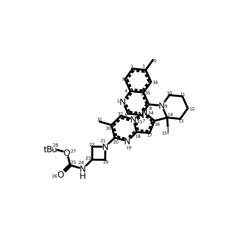 Cc1ccc2ncnc(N3CCCCC3(I)c3cc4nc(N5CC(NC(=O)OC(C)(C)C)C5)c(C)cn4n3)c2c1